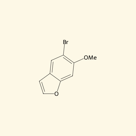 COc1cc2occc2cc1Br